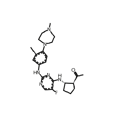 CC(=O)[C@H]1CCC[C@@H]1Nc1nc(Nc2ccc(N3CCN(C)CC3)c(C)c2)ncc1F